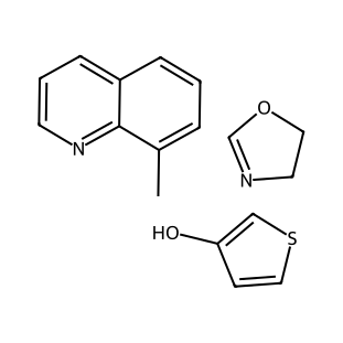 C1=NCCO1.Cc1cccc2cccnc12.Oc1ccsc1